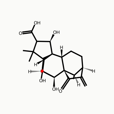 C=C1C(=O)[C@]23[C@H](C)[C@H]1CC[C@H]2[C@@]12CO[C@]3(O)[C@@H](O)[C@@H]1C(C)(C)C(C(=O)O)[C@H]2O